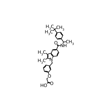 Cc1c(C)n(Cc2cccc(OCC(=O)O)c2)c2ccc(C(=O)NC(C)c3ccc(C(C)(C)C)cc3)cc12